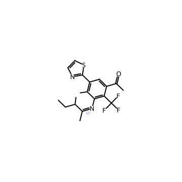 CCC(C)/C(C)=N\c1c(C)c(-c2nccs2)cc(C(C)=O)c1C(F)(F)F